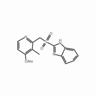 COc1ccnc(CS(=O)(=O)c2nc3ccccc3[nH]2)c1C